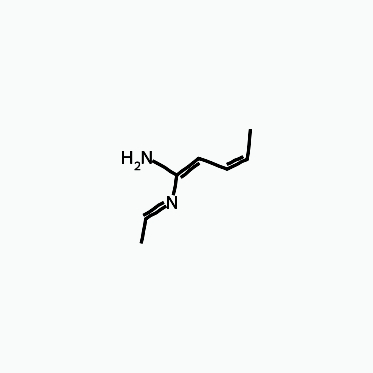 C\C=C/C=C(N)\N=C\C